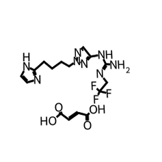 NC(=NCC(F)(F)F)Nc1cnn(CCCCc2ncc[nH]2)n1.O=C(O)C=CC(=O)O